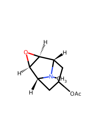 CC(=O)OC1C[C@@H]2[C@H]3O[C@H]3[C@H](C1)N2C